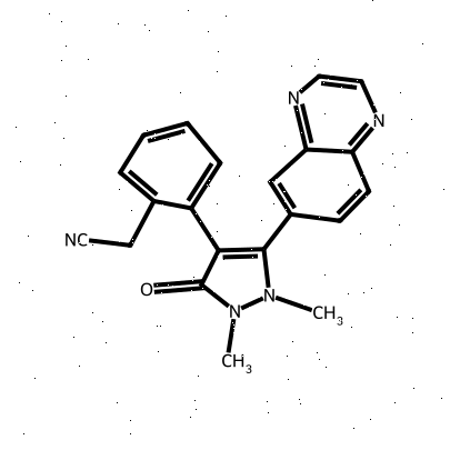 Cn1c(-c2ccc3nccnc3c2)c(-c2ccccc2CC#N)c(=O)n1C